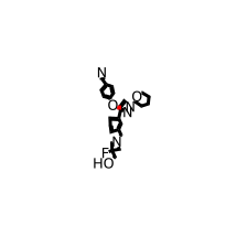 N#Cc1ccc(Oc2cn(C3CCCCO3)nc2-c2cccc(CN3CC(F)(CO)C3)c2)cc1